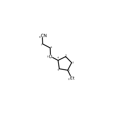 [CH2]CC1C[CH]C(OCCC#N)C1